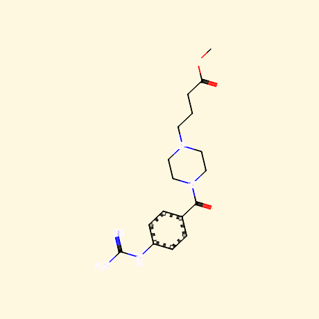 COC(=O)CCCN1CCN(C(=O)c2ccc(NC(=N)N)cc2)CC1